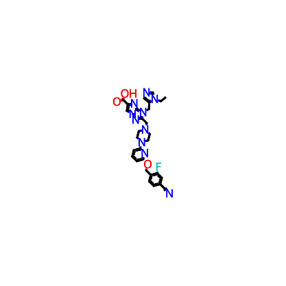 CCn1cncc1Cn1c(CN2CCN(c3cccc(OCc4ccc(C#N)cc4F)n3)CC2)nn2cc(C(=O)O)nc12